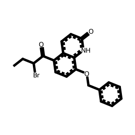 CCC(Br)C(=O)c1ccc(OCc2ccccc2)c2[nH]c(=O)ccc12